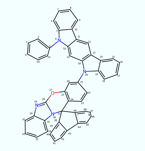 c1ccc(-n2c3ccccc3c3cc4c5ccccc5n(-c5ccc6c(c5)Oc5nc7ccccc7n5C65c6ccccc6-c6ccccc65)c4cc32)cc1